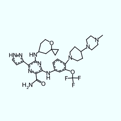 CN1CCN(C2CCN(c3ccc(Nc4nc(NC5CCOC6(CC6)C5)c(-c5cc[nH]n5)nc4C(N)=O)cc3OC(F)(F)F)CC2)CC1